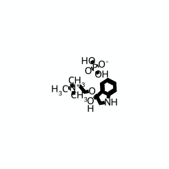 C[N+](C)(C)CCOC1(O)CNc2ccccc21.O=P([O-])(O)O